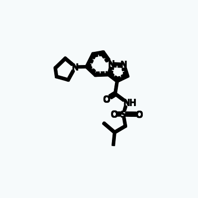 CC(C)CS(=O)(=O)NC(=O)c1cnn2ccc(N3CCCC3)cc12